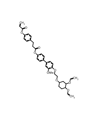 C=COC1CCC(OCCOc2ccc(-c3ccc(OC(=O)CCc4ccc(OC(=O)C=C)cc4)cc3)cc2OC)CC1OC=C